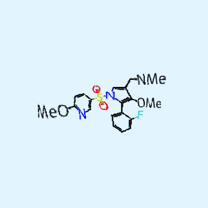 CNCc1cn(S(=O)(=O)c2ccc(OC)nc2)c(-c2ccccc2F)c1OC